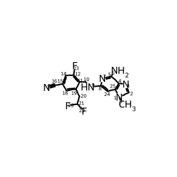 Cn1cnc2c(N)nc(NCc3c(F)cc(C#N)cc3CC(F)F)cc21